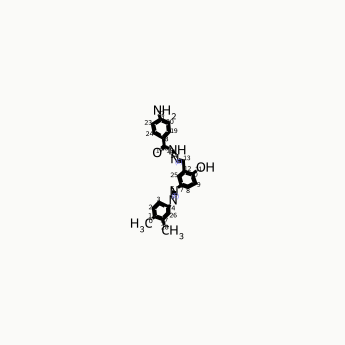 Cc1ccc(/N=N/c2ccc(O)c(/C=N/NC(=O)c3ccc(N)cc3)c2)cc1C